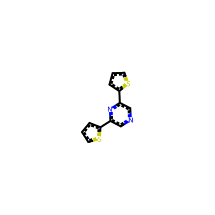 c1csc(-c2cncc(-c3cccs3)n2)c1